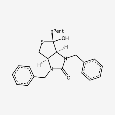 CCCCC[C@]1(O)SC[C@H]2[C@@H]1N(Cc1ccccc1)C(=O)N2Cc1ccccc1